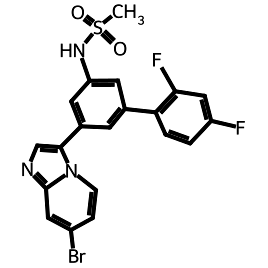 CS(=O)(=O)Nc1cc(-c2ccc(F)cc2F)cc(-c2cnc3cc(Br)ccn23)c1